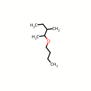 [CH2]C(CC)C(C)OCCCC